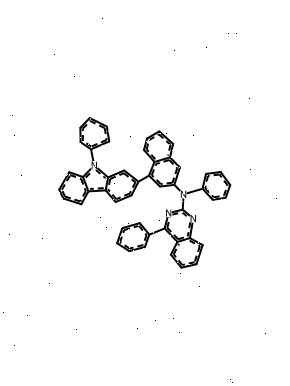 c1ccc(-c2nc(N(c3ccccc3)c3cc(-c4ccc5c6ccccc6n(-c6ccccc6)c5c4)c4ccccc4c3)nc3ccccc23)cc1